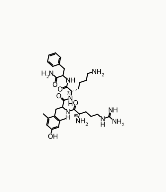 Cc1cc(O)cc(C)c1CC(NC(=O)[C@H](N)CCCNC(=N)N)C(=O)N[C@@H](CCCCN)C(=O)NC(Cc1ccccc1)C(N)=O